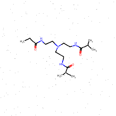 CCC(=O)NCCN(CCNC(=O)C(C)C)CCNC(=O)C(C)C